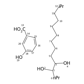 CCCC(O)C(O)CCCCCCCC(C)C.O=C(O)c1cccc(O)c1